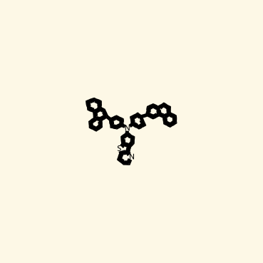 c1ccc2c(c1)ccc1ccc(-c3ccc(N(c4ccc(-c5cc6ccccc6c6ccccc56)cc4)c4ccc5c(c4)sc4cccnc45)cc3)cc12